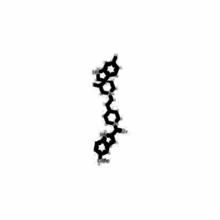 COc1ccc2[nH]c(C(=O)N3CCC(CCN4CC[C@]5(CNc6cc(C)ccc65)C(C)C4)CC3)cc2c1